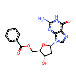 Nc1nc2c(ncn2[C@H]2C[C@H](O)[C@@H](COC(=O)c3ccccc3)O2)c(=O)[nH]1